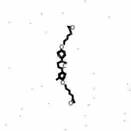 Cc1cc(C2CCC(c3ccc(OCCCCCC4CO4)cc3)CC2)ccc1OCCCCCC1CO1